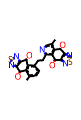 Cc1ccc(CCc2ncc(C)c3c2C(=O)c2nsnc2C3=O)c2c1C(=O)c1nsnc1C2=O